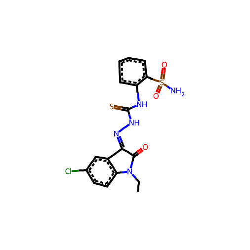 CCN1C(=O)C(=NNC(=S)Nc2ccccc2S(N)(=O)=O)c2cc(Cl)ccc21